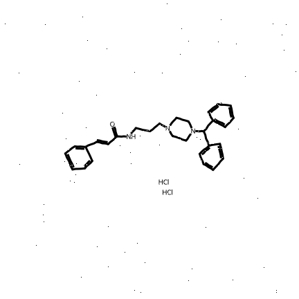 Cl.Cl.O=C(/C=C/c1ccccc1)NCCCN1CCN(C(c2ccccc2)c2ccccc2)CC1